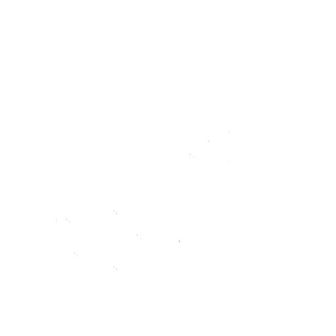 C[C@H](Cn1cnc2c(N)ncnc21)OCP(=O)(NC(C)(C)C(=O)OC1CCCCC1)Oc1ccc(Cl)cc1